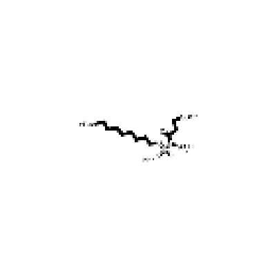 CCCCCCCCCCCCCCCCCCOS(=O)(=O)N(C(=O)CCC(=O)[O-])S(=O)(=O)O.[Na+]